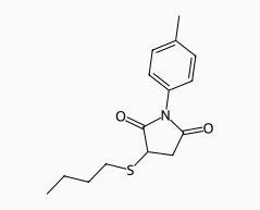 CCCCSC1CC(=O)N(c2ccc(C)cc2)C1=O